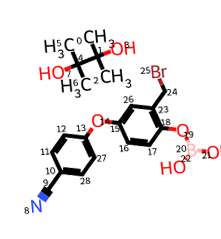 CC(C)(O)C(C)(C)O.N#Cc1ccc(Oc2ccc(OB(O)O)c(CBr)c2)cc1